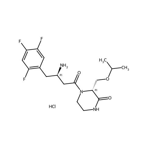 CC(C)OC[C@@H]1C(=O)NCCN1C(=O)C[C@H](N)Cc1cc(F)c(F)cc1F.Cl